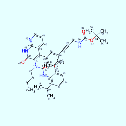 CCCCN(C(=O)Nc1c(C(C)C)cccc1C(C)C)c1c(-c2cccc(C#CCNC(=O)OC(C)(C)C)c2)c2cccnc2[nH]c1=O